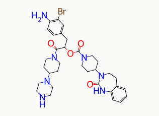 Nc1ccc(CC(OC(=O)N2CCC(N3CCc4ccccc4NC3=O)CC2)C(=O)N2CCC(N3CCNCC3)CC2)cc1Br